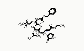 CCOC(=O)/C=C/[C@H](C[C@@H]1CCNC1=O)NC(=O)[C@H](CC(C)C)NC(=O)[C@H](CCS(C)(=O)=O)NC(=O)OCc1ccccc1